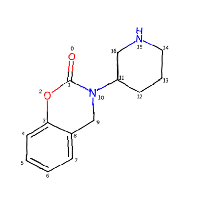 O=C1Oc2ccccc2CN1C1CCCNC1